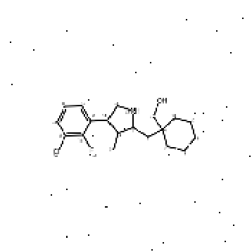 CC1C(CC2(CO)CCCCC2)NCC1c1cccc(Cl)c1F